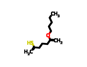 C=C(S)CCCC(=C)OCCCCC